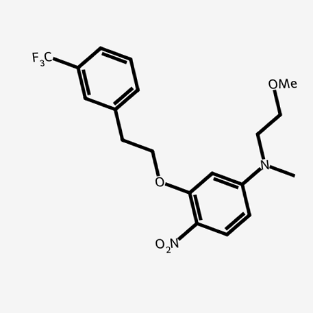 COCCN(C)c1ccc([N+](=O)[O-])c(OCCc2cccc(C(F)(F)F)c2)c1